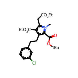 CCOC(=O)Cc1c(C(=O)OCC)c(CCc2cccc(Cl)c2)c(C(=O)OC(C)(C)C)n1C